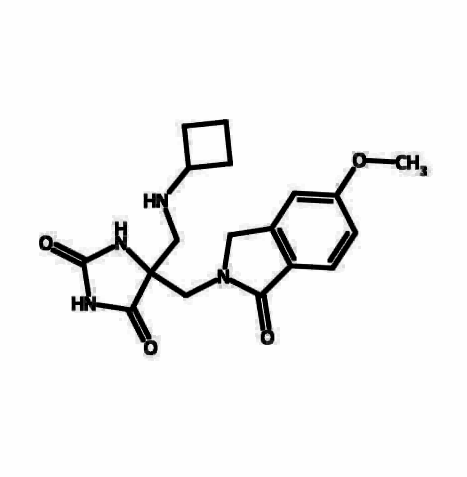 COc1ccc2c(c1)CN(CC1(CNC3CCC3)NC(=O)NC1=O)C2=O